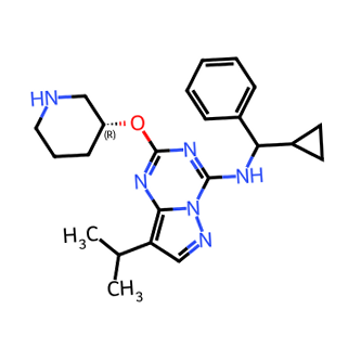 CC(C)c1cnn2c(NC(c3ccccc3)C3CC3)nc(O[C@@H]3CCCNC3)nc12